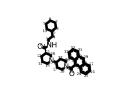 O=C(NCCC1CCCCC1)[C@@H]1CCCN(C2CCN(C(=O)c3c4ccccc4cc4ccccc34)CC2)C1